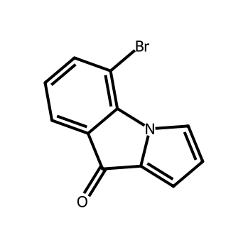 O=C1c2cccc(Br)c2-n2cccc21